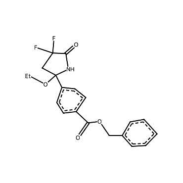 CCOC1(c2ccc(C(=O)OCc3ccccc3)cc2)CC(F)(F)C(=O)N1